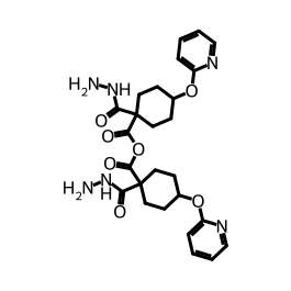 NNC(=O)C1(C(=O)OC(=O)C2(C(=O)NN)CCC(Oc3ccccn3)CC2)CCC(Oc2ccccn2)CC1